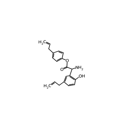 C=CCc1ccc(OC(=O)C(N)c2cc(CC=C)ccc2O)cc1